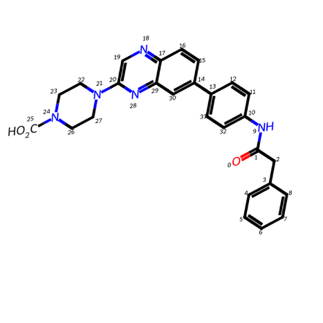 O=C(Cc1ccccc1)Nc1ccc(-c2ccc3ncc(N4CCN(C(=O)O)CC4)nc3c2)cc1